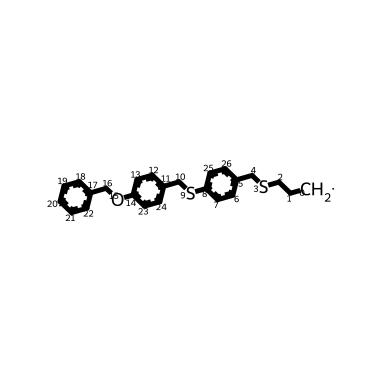 [CH2]CCSCc1ccc(SCc2ccc(OCc3cc[c]cc3)cc2)cc1